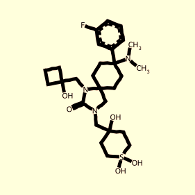 CN(C)C1(c2cccc(F)c2)CCC2(CC1)CN(CC1(O)CCS(O)(O)CC1)C(=O)N2CC1(O)CCC1